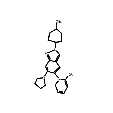 O=CC1CCC(n2cc3cc(N4CC=CC=C4C(F)(F)F)c(N4CCCC4)cc3n2)CC1